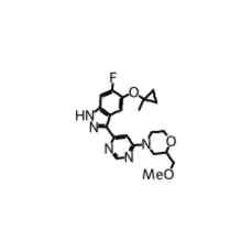 COCC1CN(c2cc(-c3n[nH]c4cc(F)c(OC5(C)CC5)cc34)ncn2)CCO1